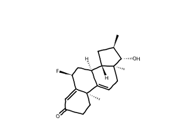 C[C@@H]1C[C@H]2[C@@H]3C[C@H](F)C4=CC(=O)CC[C@]4(C)C3=CC[C@]2(C)[C@H]1O